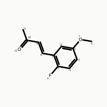 COc1ccc(F)c(C=CC(C)=O)c1